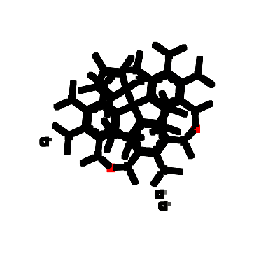 CC1=C(C)[C]([Ti+3])([Si](c2c(N(C)C)c(N(C)C)c(N(C)C)c(N(C)C)c2N(C)C)(c2c(N(C)C)c(N(C)C)c(N(C)C)c(N(C)C)c2N(C)C)c2c(N(C)C)c(N(C)C)c(N(C)C)c(N(C)C)c2N(C)C)C(C)=C1C.[Cl-].[Cl-].[Cl-]